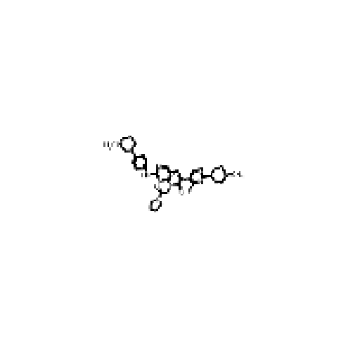 CC1CCC(c2ncc(-c3cc4cnc(Nc5ccc(C6CCCN(C)C6)cc5)nc4n(CC(=O)N4CCCC4)c3=O)c(F)n2)CC1